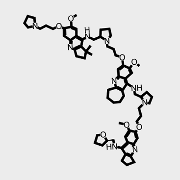 COc1cc2c(NCC3CCCN3CCCOc3cc4nc5c(c(NCC6CCCN6CCCOc6cc7nc8c(c(NC[C@H]9CCCO9)c7cc6OC)CCC8)c4cc3OC)CCCCC5)c3c(nc2cc1OCCCN1CCCC1)CCC3(C)C